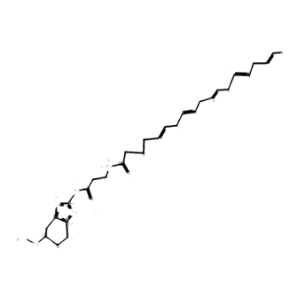 CCC=CCC=CCC=CCC=CCC=CCCCC(=O)NCCC(=O)Nc1nc2c(s1)CC(NCCC)CC2